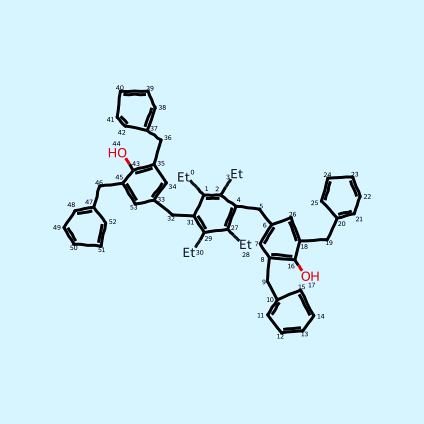 CCc1c(CC)c(Cc2cc(Cc3ccccc3)c(O)c(Cc3ccccc3)c2)c(CC)c(CC)c1Cc1cc(Cc2ccccc2)c(O)c(Cc2ccccc2)c1